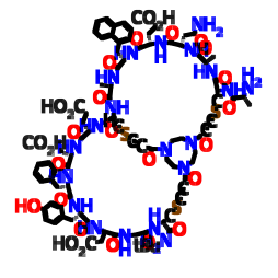 C[C@H](N)C(=O)N[C@H]1CSCCC(=O)N2CCN3CCN(CC2)C(=O)CCSC[C@@H](NC(=O)[C@@H](C)NC(=O)[C@H](Cc2cccc4ccccc24)NC(=O)[C@H](CCC(=O)O)NC(=O)[C@H](CC(N)=O)NC(=O)[C@@H](C)NC1=O)C(=O)N[C@@H](CCC(=O)O)C(=O)N[C@@H](CC(=O)O)C(=O)N[C@@H](Cc1ccccc1)C(=O)N[C@@H](Cc1ccc(O)cc1)C(=O)NC(CC(=O)O)C(=O)N[C@@H](C(C)(C)C)C(=O)N[C@H](C(N)=O)CSCCC3=O